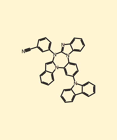 N#Cc1cccc(-n2c3cc4ccccc4n3c3cc(-n4c5ccccc5c5ccccc54)ccc3n3c4ccccc4nc23)c1